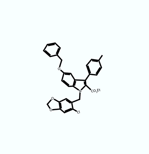 CCOC(=O)c1c(-c2ccc(C)cc2)c2cc(OCc3ccccc3)ccc2n1Cc1cc2c(cc1Cl)OCO2